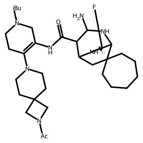 CCC(C)N1CCC(N2CCC3(CC2)CN(C(C)=O)C3)=C(NC(=O)C2C(N)NC3/C=C(/F)CNC2CC32CCCCCC2)C1